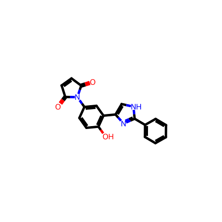 O=C1C=CC(=O)N1c1ccc(O)c(-c2c[nH]c(-c3ccccc3)n2)c1